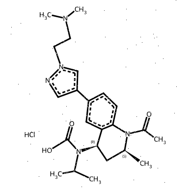 CC(=O)N1c2ccc(-c3cnn(CCN(C)C)c3)cc2[C@H](N(C(=O)O)C(C)C)C[C@@H]1C.Cl